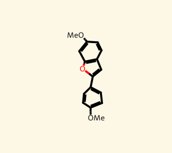 COc1ccc(-c2cc3ccc(OC)cc3o2)cc1